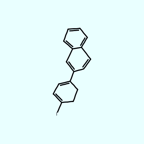 IC1=CC=C(c2ccc3ccccc3c2)CC1